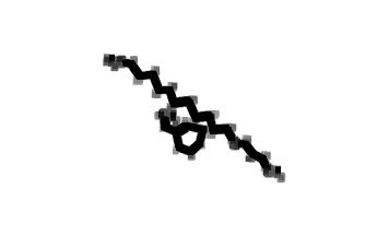 C=CC1=CCCCC1.CCCCCCC=CC=CC=COCCCC